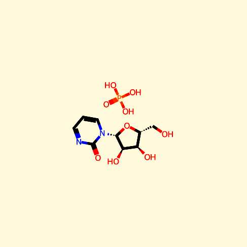 O=P(O)(O)O.O=c1ncccn1[C@@H]1O[C@H](CO)[C@@H](O)[C@H]1O